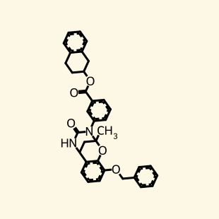 CC12CC(NC(=O)N1c1cccc(C(=O)OC3CCc4ccccc4C3)c1)c1cccc(OCc3ccccc3)c1O2